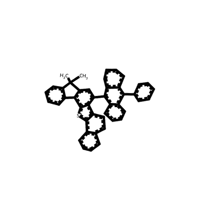 CC1(C)c2ccccc2-c2c1cc(-c1c3ccccc3c(-c3ccccc3)c3ccccc13)c1c2sc2c3ccccc3ccc21